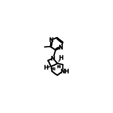 Cc1nccnc1N1C[C@@H]2CCNC[C@@H]21